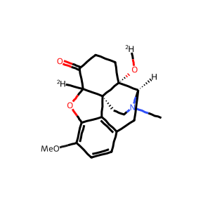 [2H]O[C@@]12CCC(=O)C3([2H])Oc4c(OC)ccc5c4[C@@]31CCN(C)[C@@H]2C5